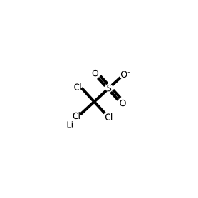 O=S(=O)([O-])C(Cl)(Cl)Cl.[Li+]